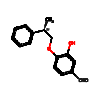 C[C@H](COc1ccc(C=O)cc1O)c1ccccc1